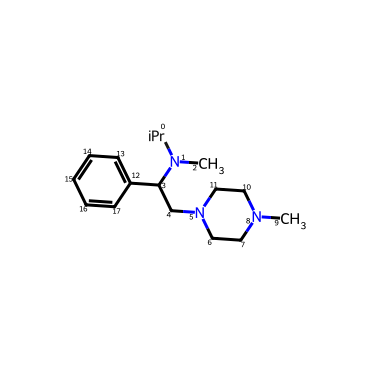 CC(C)N(C)C(CN1CCN(C)CC1)c1ccccc1